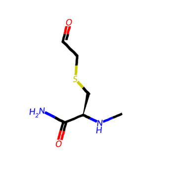 CN[C@H](CSCC=O)C(N)=O